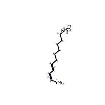 CCCC/C=C\C=C\CCCCC[CH2][Mg][Cl]